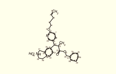 C=CCCCOc1ccc(C(c2ccc3c(c2)CNCC3)C(C)C(=O)OCc2ccccc2)cn1.Cl